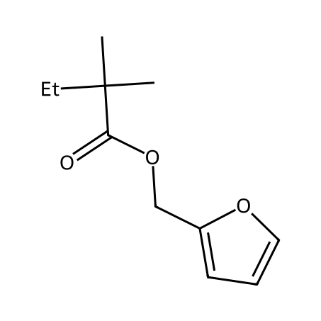 CCC(C)(C)C(=O)OCc1ccco1